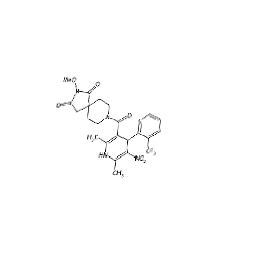 CON1C(=O)CC2(CCN(C(=O)C3=C(C)NC(C)=C([N+](=O)[O-])C3c3ccccc3C(F)(F)F)CC2)C1=O